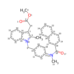 COC(=O)Cc1c(C)n(Cc2ccc(N(C)C(=O)c3ccc4ccccc4c3)cc2)c2ccccc12